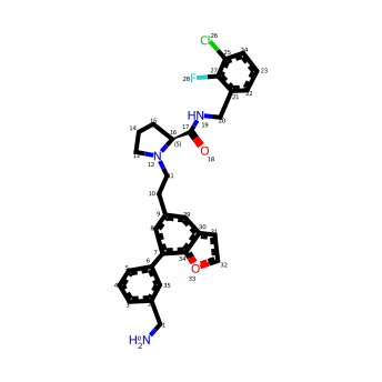 NCc1cccc(-c2cc(CCN3CCC[C@H]3C(=O)NCc3cccc(Cl)c3F)cc3ccoc23)c1